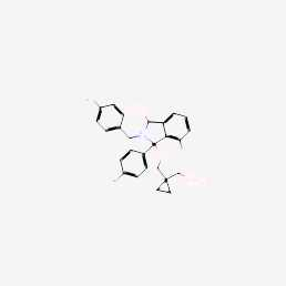 OCC1(COC2(c3ccc(Cl)cc3)c3c(Cl)cccc3C(O)N2Cc2ccc(Br)cc2)CC1